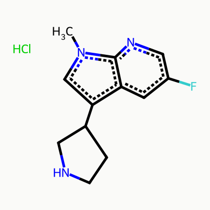 Cl.Cn1cc(C2CCNC2)c2cc(F)cnc21